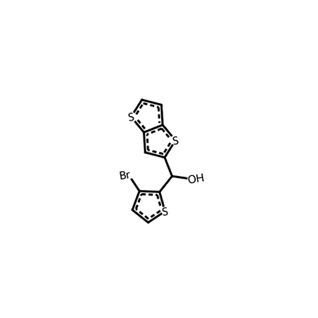 OC(c1cc2sccc2s1)c1sccc1Br